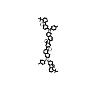 Cc1ccc(N(c2ccc3c(ccc4c5cc6oc7c8ccc(N(c9ccc(C)cc9)c9ccc%10oc%11c(C(C)(C)C)cccc%11c%10c9)cc8ccc7c6cc5oc34)c2)c2ccc3oc4c(C(C)(C)C)cccc4c3c2)cc1